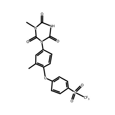 Cc1cc(-n2c(=O)[nH]c(=O)n(C)c2=O)ccc1Oc1ccc(S(=O)(=O)C(F)(F)F)cc1